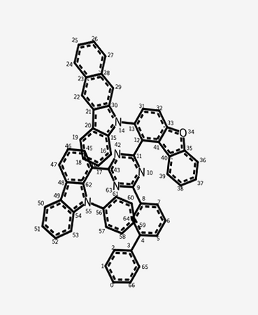 c1ccc(-c2cccc(-c3nc(-c4c(-n5c6ccccc6c6cc7ccccc7cc65)ccc5oc6ccccc6c45)nc(-c4cccc5c6ccccc6n(-c6ccccc6)c45)n3)c2)cc1